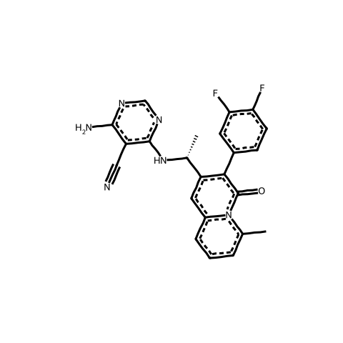 Cc1cccc2cc([C@@H](C)Nc3ncnc(N)c3C#N)c(-c3ccc(F)c(F)c3)c(=O)n12